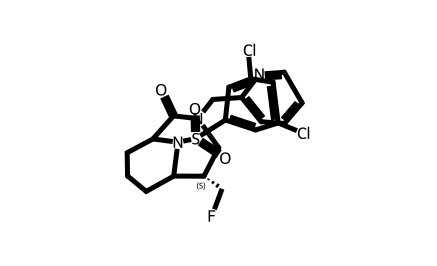 O=C1C2CCCC([C@@H](CF)CN1Cc1ccccn1)N2S(=O)(=O)c1cc(Cl)cc(Cl)c1